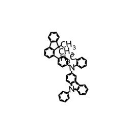 Cc1ccccc1N(c1ccc(-c2cccc3c2C(C)(C)c2ccccc2-3)cc1)c1ccc2c(c1)c1ccccc1n2-c1ccccc1